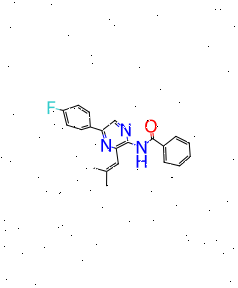 CC(C)=Cc1nc(-c2ccc(F)cc2)cnc1NC(=O)c1ccccc1